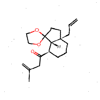 C=CC[C@@]12CCC[C@@H](C(=O)CC(=C)C)[C@@H]1C1(CC2)OCCO1